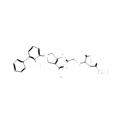 COc1nc(CNC(CC(N)=O)C(=O)O)nc2c1CN(c1cccc(-c3ccccc3)c1Cl)C2